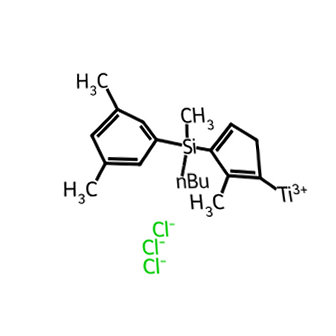 CCCC[Si](C)(C1=CC[C]([Ti+3])=C1C)c1cc(C)cc(C)c1.[Cl-].[Cl-].[Cl-]